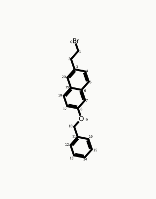 BrCCc1ccc2cc(OCc3ccccc3)ccc2c1